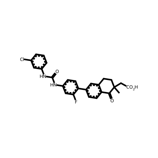 CC1(CC(=O)O)CCc2cc(-c3ccc(NC(=O)Nc4cccc(Cl)c4)cc3F)ccc2C1=O